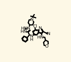 CC(C)(C)N1CCC(N2C=C([C@@H](Nc3cc(Cl)c4ncc(C#N)c(NCC5CCOCC5)c4c3)c3ccccc3)NN2)CC1